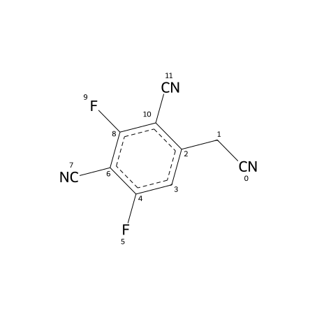 N#CCc1cc(F)c(C#N)c(F)c1C#N